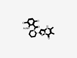 CC(=O)Nc1c(Cl)ccc(Cl)c1C(=O)N1CCCC[C@H]1c1cc2[nH]c(C)c(C)c(=O)n2n1